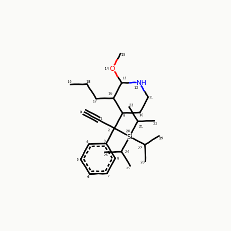 C#CC(c1ccccc1)(C1CCNC(OC)C1CCC)[Si](C(C)C)(C(C)C)C(C)C